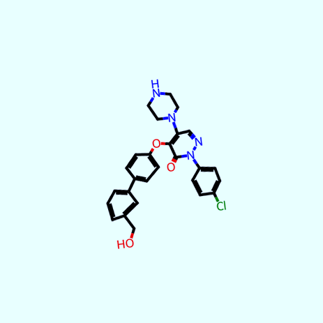 O=c1c(Oc2ccc(-c3cccc(CO)c3)cc2)c(N2CCNCC2)cnn1-c1ccc(Cl)cc1